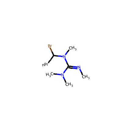 CCCC(Br)N(C)C(=NC)N(C)C